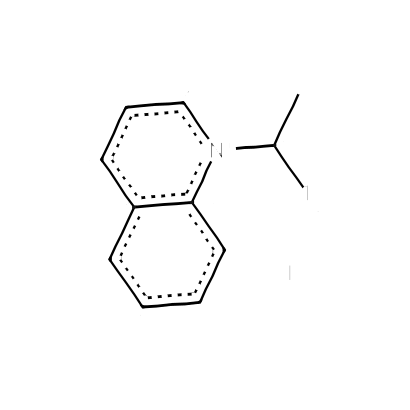 CC(I)[n+]1cccc2ccccc21.[I-]